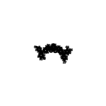 Cc1ccc(N(c2ccc(C)c(C)c2)c2ccc3c(ccc4c5ccc6c7ccc8cc(N(c9ccc(C)cc9)c9ccc(C)c(C)c9)ccc8c7oc6c5oc34)c2)cc1